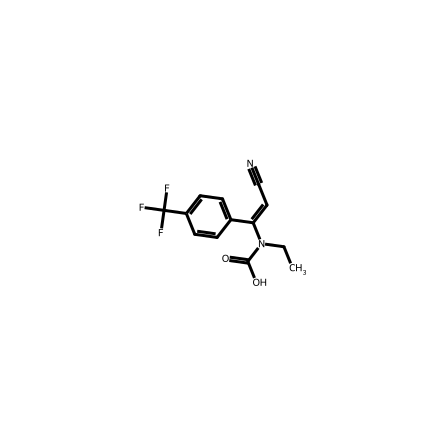 CCN(C(=O)O)/C(=C/C#N)c1ccc(C(F)(F)F)cc1